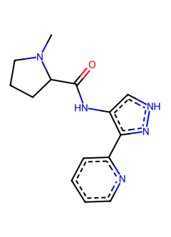 CN1CCCC1C(=O)Nc1c[nH]nc1-c1ccccn1